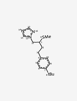 CSC(CCc1ccc(C(C)(C)C)cc1)Cn1cncn1